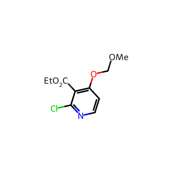 CCOC(=O)c1c(OCOC)ccnc1Cl